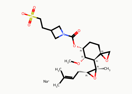 CO[C@@H]1[C@H](OC(=O)N2CC(CCS(=O)(=O)[O-])C2)CC[C@]2(CO2)[C@H]1[C@@]1(C)O[C@@H]1CC=C(C)C.[Na+]